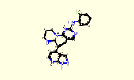 Fc1ccccc1Nc1ncc2c(n1)N1CCCN=C1C(c1ccnc3[nH]ncc13)=C2